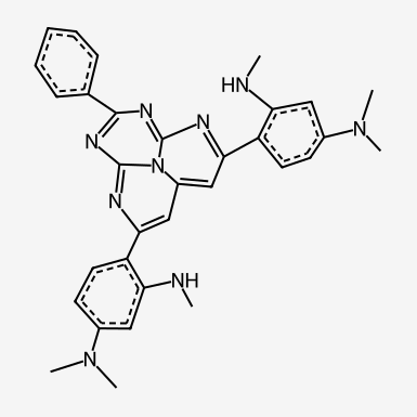 CNc1cc(N(C)C)ccc1C1=CC2=CC(c3ccc(N(C)C)cc3NC)=NC3=NC(c4ccccc4)=NC(=N1)N23